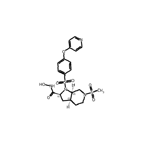 CS(=O)(=O)N1CC[C@H]2C[C@@H](C(=O)NO)N(S(=O)(=O)c3ccc(Oc4ccncc4)cc3)[C@H]2C1